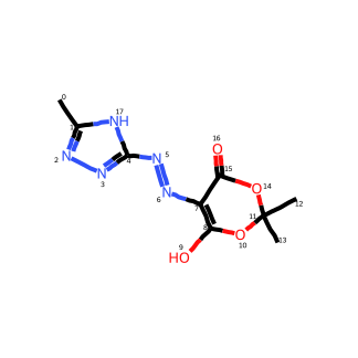 Cc1nnc(N=NC2=C(O)OC(C)(C)OC2=O)[nH]1